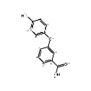 Cc1ccc(Oc2ccnc(C(=O)O)c2)cn1